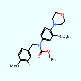 CCOC(=O)c1cc(N(Cc2ccc(OC)c(F)c2)C(=O)OC(C)(C)C)ccc1N1CCOCC1